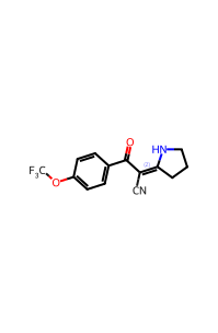 N#C/C(C(=O)c1ccc(OC(F)(F)F)cc1)=C1\CCCN1